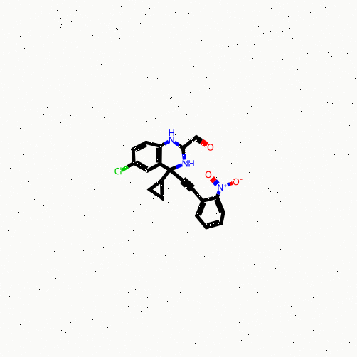 O=CC1Nc2ccc(Cl)cc2C(C#Cc2ccccc2[N+](=O)[O-])(C2CC2)N1